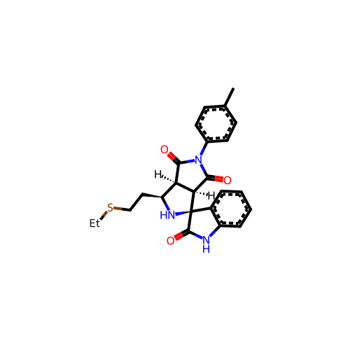 CCSCC[C@@H]1N[C@@]2(C(=O)Nc3ccccc32)[C@@H]2C(=O)N(c3ccc(C)cc3)C(=O)[C@H]12